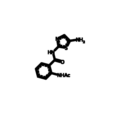 CC(=O)Nc1ccccc1C(=O)Nc1ncc(N)s1